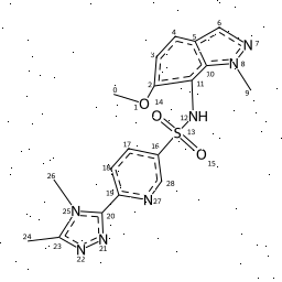 COc1ccc2cnn(C)c2c1NS(=O)(=O)c1ccc(-c2nnc(C)n2C)nc1